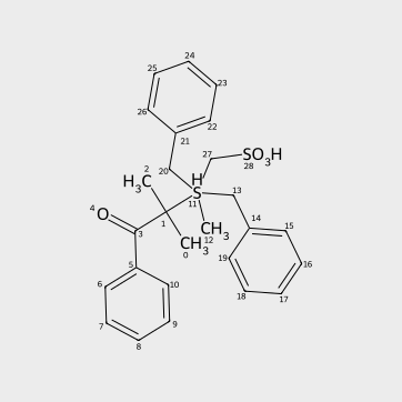 CC(C)(C(=O)c1ccccc1)[SH](C)(Cc1ccccc1)(Cc1ccccc1)CS(=O)(=O)O